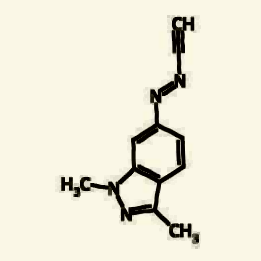 C#C/N=N/c1ccc2c(C)nn(C)c2c1